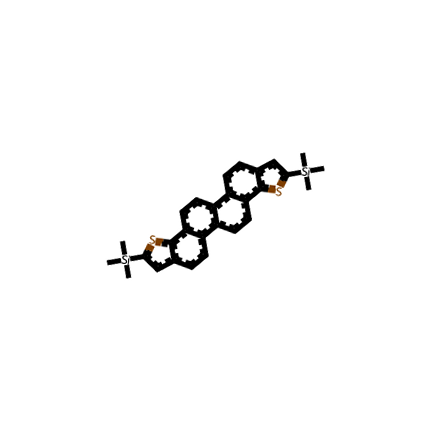 C[Si](C)(C)c1cc2ccc3c4ccc5c(ccc6cc([Si](C)(C)C)sc65)c4ccc3c2s1